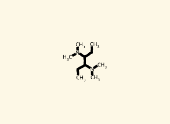 CCC(C(CC)N(C)C)N(C)C